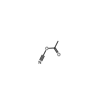 CC(=O)OC#N